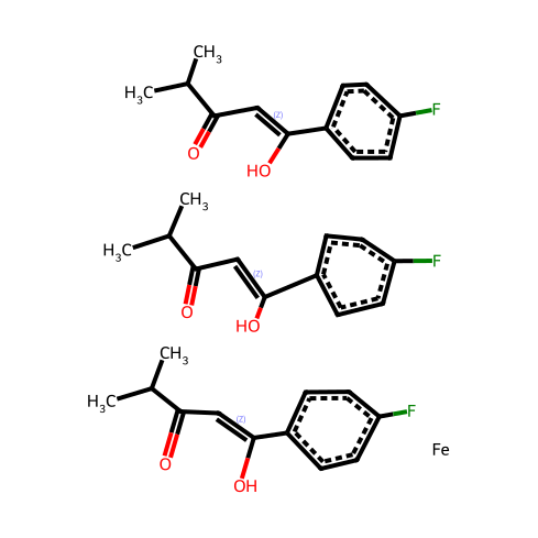 CC(C)C(=O)/C=C(\O)c1ccc(F)cc1.CC(C)C(=O)/C=C(\O)c1ccc(F)cc1.CC(C)C(=O)/C=C(\O)c1ccc(F)cc1.[Fe]